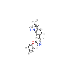 C=C1Nc2cc([C@@](C)(C#N)C[C@@H]3CCc4cc(C)ccc4O3)ccc2C=C1CC